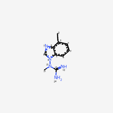 Cc1cccc2c1ncn2N(C)C(=N)N